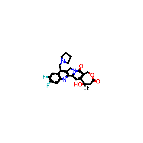 CCC1(O)CC(=O)OCc2c1cc1n(c2=O)Cc2c-1nc1cc(F)c(F)cc1c2CN1CCCC1